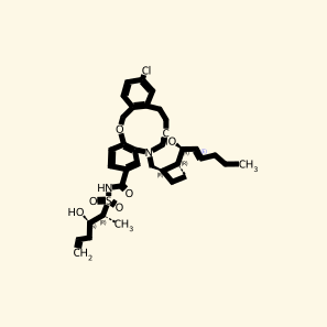 C=CC[C@H](O)[C@@H](C)S(=O)(=O)NC(=O)c1ccc2c(c1)N(C[C@@H]1CC[C@H]1[C@@H](O)/C=C/CCC)CCCCc1cc(Cl)ccc1CO2